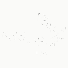 CN1CC[C@H]2CC[C@@H](C(=O)N[C@@H](CCC(N)=O)COc3cccc(N4CCN(Cc5cc(Br)c6c(c5)C(=O)N(C5CCC(=O)NC5=O)C6=O)CC4)c3Cl)N2C(=O)[C@@H](NC(=O)c2cc3cc(C(F)(F)P(=O)(O)O)ccc3[nH]2)C1